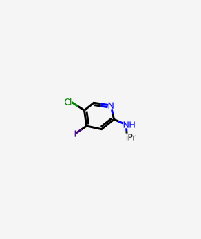 CC(C)Nc1cc(I)c(Cl)cn1